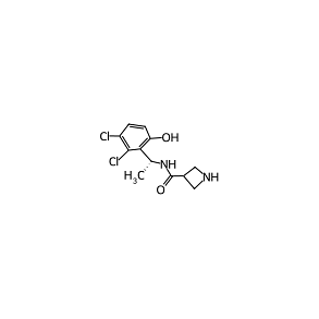 C[C@@H](NC(=O)C1CNC1)c1c(O)ccc(Cl)c1Cl